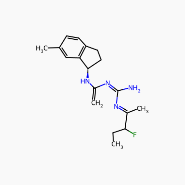 C=C(/N=C(N)\N=C(/C)C(F)CC)N[C@@H]1CCc2ccc(C)cc21